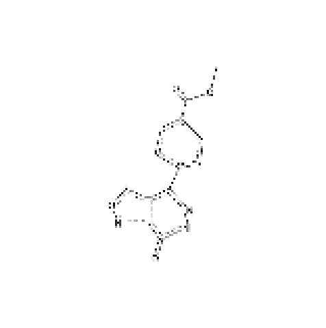 COC(=O)c1ccc(-c2n[nH]c(=O)c3noc(C)c23)cc1